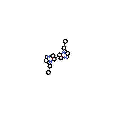 c1ccc(-c2ccc3c(c2)c2ccc4ccn(-c5ccccc5)c4c2n3-c2ccc(-c3ccc(-n4c5ccc(-c6ccccc6)cc5c5ccc6ccn(-c7ccccc7)c6c54)cc3)cc2)cc1